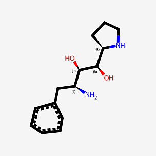 N[C@@H](Cc1ccccc1)[C@@H](O)[C@H](O)[C@H]1CCCN1